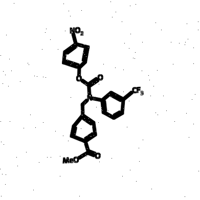 COC(=O)c1ccc(CN(C(=O)Oc2ccc([N+](=O)[O-])cc2)c2cccc(C(F)(F)F)c2)cc1